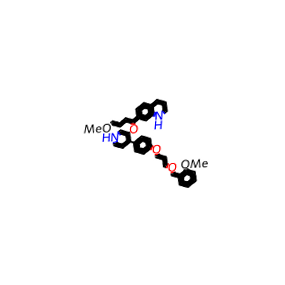 COCCCC(O[C@H]1CNCC[C@@H]1c1ccc(OCCCOCc2ccccc2OC)cc1)c1ccc2c(c1)NCCC2